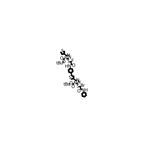 CC(C)(C)OC(=O)n1c(SC(F)C(=O)Nc2ccc(-c3cc(-c4nnc(SC(Br)C(=O)Nc5ccccc5)n4C(=O)OC(C)(C)C)cs3)cc2)nnc1-c1ccsc1